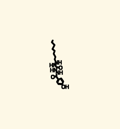 CCCCCCCCNNC(=O)NNC(=O)c1ccc(O)cc1